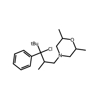 CC1CN(CC(C)C(Cl)(c2ccccc2)C(C)(C)C)CC(C)O1